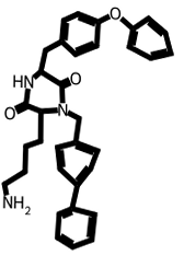 NCCCCC1C(=O)NC(Cc2ccc(Oc3ccccc3)cc2)C(=O)N1Cc1ccc(-c2ccccc2)cc1